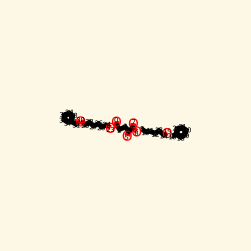 O=C(CCC(=O)C(=O)OCCCCCCOCc1ccccc1)OCCCCCCOCc1ccccc1